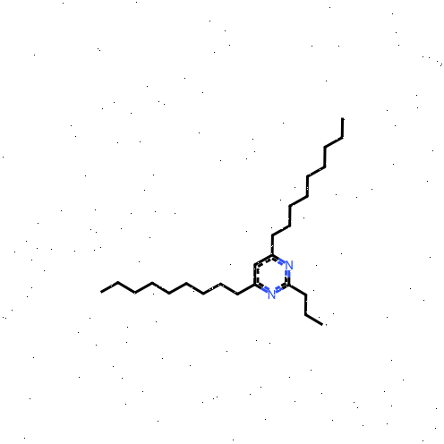 [CH2]CCc1nc(CCCCCCCCC)cc(CCCCCCCCC)n1